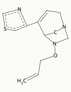 C=CCON1CN2CC=C(c3cscn3)C1C2